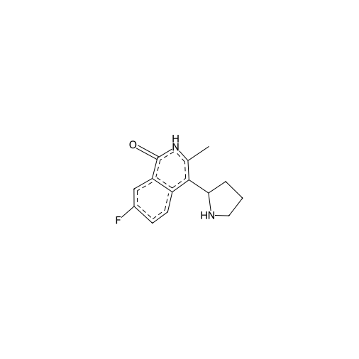 Cc1[nH]c(=O)c2cc(F)ccc2c1C1CCCN1